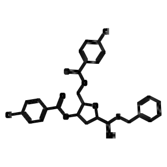 N=C(SCc1ccccc1)C1CC(OC(=O)c2ccc(Cl)cc2)C(COC(=O)c2ccc(Cl)cc2)O1